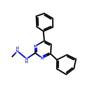 CNNc1nc(-c2ccccc2)cc(-c2ccccc2)n1